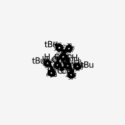 CC(C)(C)c1ccc(N(c2ccccc2)c2cc3c4c(c2)C(C)(C)c2cc(N(c5ccccc5)c5ccc(C(C)(C)C)cc5)cc5c2N4c2c(cc(N(c4ccccc4)c4ccc(C(C)(C)C)cc4)cc2C5(C)C)C3(C)C)cc1